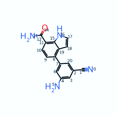 N#Cc1cc(N)cc(-c2ccc(C(N)=O)c3[nH]ccc23)c1